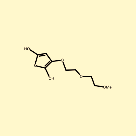 COCCOCCOc1cc(O)sc1O